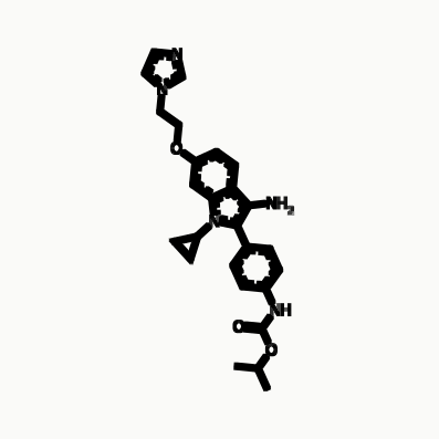 CC(C)OC(=O)Nc1ccc(-c2c(N)c3ccc(OCCn4ccnc4)cc3n2C2CC2)cc1